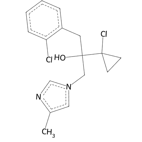 Cc1cn(CC(O)(Cc2ccccc2Cl)C2(Cl)CC2)cn1